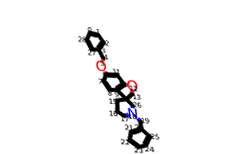 c1ccc(COc2ccc3c(c2)OCC32CCCN(Cc3ccccc3)C2)cc1